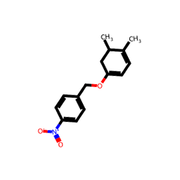 CC1=CC=C(OCc2ccc([N+](=O)[O-])cc2)CC1C